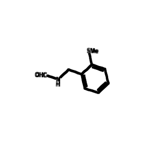 CSc1ccccc1CNC=O